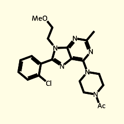 COCCn1c(-c2ccccc2Cl)nc2c(N3CCN(C(C)=O)CC3)nc(C)nc21